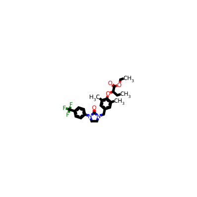 CCOC(=O)C(CC)Oc1c(C)cc(CN2CCN(c3ccc(C(F)(F)F)cc3)C2=O)cc1C